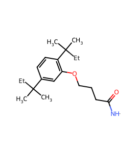 CCC(C)(C)c1ccc(C(C)(C)CC)c(OCCCC([NH])=O)c1